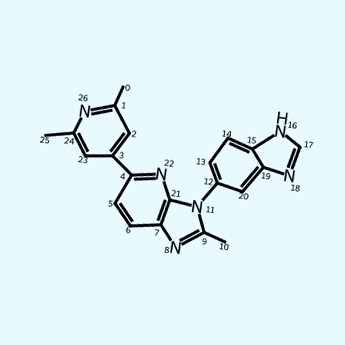 Cc1cc(-c2ccc3nc(C)n(-c4ccc5[nH]cnc5c4)c3n2)cc(C)n1